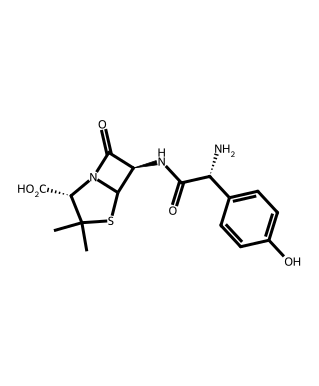 CC1(C)SC2[C@H](NC(=O)[C@H](N)c3ccc(O)cc3)C(=O)N2[C@H]1C(=O)O